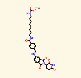 CC(C)(C)OC(=O)NCCCCCCCCNC(=O)c1ccc(CNc2ccc3c(c2)C(=O)N(C2CCC(=O)NC2=O)C3=O)cc1